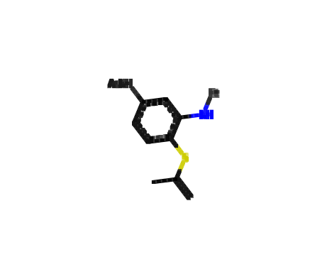 C=C(C)Sc1ccc(NC(C)=O)cc1NCC